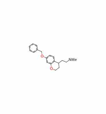 CNCCC1CCOc2cc(OCc3ccccc3)ccc21